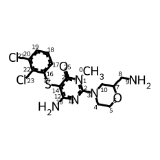 Cn1c(N2CCOC(CN)C2)nc(N)c(Sc2cccc(Cl)c2Cl)c1=O